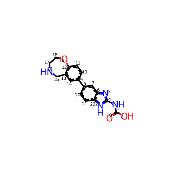 O=C(O)Nc1nc2cc(-c3ccc4c(c3)CNCCO4)ccc2[nH]1